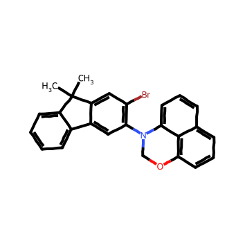 CC1(C)c2ccccc2-c2cc(N3COc4cccc5cccc3c45)c(Br)cc21